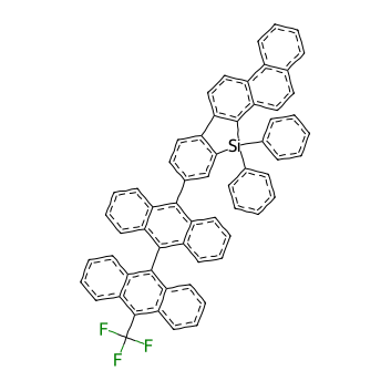 FC(F)(F)c1c2ccccc2c(-c2c3ccccc3c(-c3ccc4c(c3)[Si](c3ccccc3)(c3ccccc3)c3c-4ccc4c3ccc3ccccc34)c3ccccc23)c2ccccc12